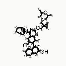 CC1CN(CC2(COc3nc(N4CC5CCC(C4)N5)c4cc(Cl)c(-c5cc(O)cc6ccccc56)c(F)c4n3)CC2)CC(C)O1